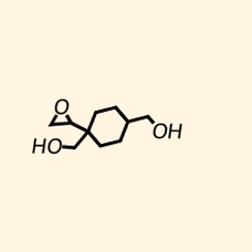 OCC1CCC(CO)(C2CO2)CC1